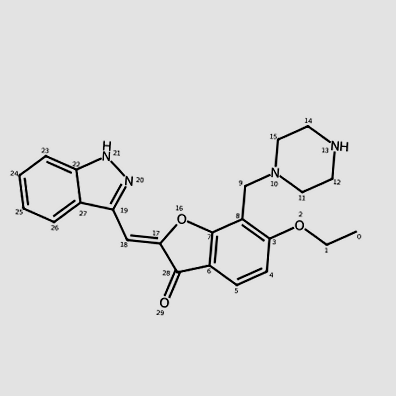 CCOc1ccc2c(c1CN1CCNCC1)OC(=Cc1n[nH]c3ccccc13)C2=O